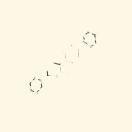 CC(C)C(NC(=O)c1cccc(C(F)(F)F)c1)C(=O)N1CCC(c2ccc(Cl)cc2)CC1